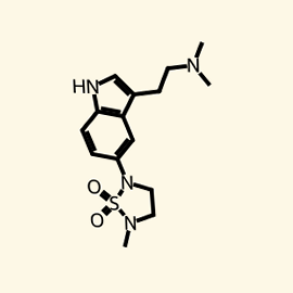 CN(C)CCc1c[nH]c2ccc(N3CCN(C)S3(=O)=O)cc12